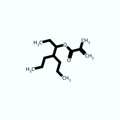 C=C(C)C(=O)OC(CC)C(CCC)CCC